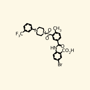 Cc1ccc(C(=O)Nc2ccc(Br)cc2C(=O)O)cc1S(=O)(=O)N1CCN(c2cccc(C(F)(F)F)c2)CC1